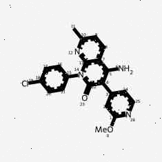 COc1cc(-c2c(N)c3ccc(C)nc3n(-c3ccc(Cl)cc3)c2=O)ccn1